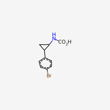 O=C(O)NC1CC1c1ccc(Br)cc1